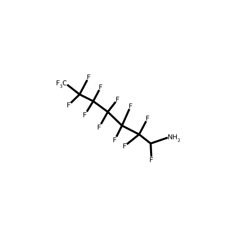 NC(F)C(F)(F)C(F)(F)C(F)(F)C(F)(F)C(F)(F)C(F)(F)F